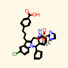 Cn1ccnc1S(=O)(=O)NCCc1c(CCCc2ccc(C(=O)O)cc2)c2cc(Cl)ccc2n1C(c1ccccc1)c1ccccc1